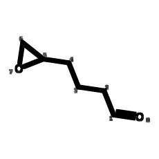 O=CCCCC1CO1